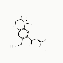 CCc1cc2c(cc1C(=O)N=C(N)N)S(=O)(=O)C(C)CO2